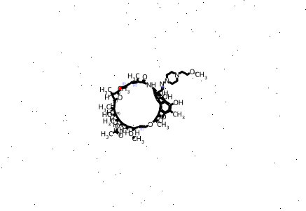 COCCN1CCN(/N=C/c2c3c(O)c4c(O)c(C)c5c(c4c2O)C(=O)[C@@](C)(O/C=C/[C@H](OC)[C@@H](C)[C@@H](OC(C)=O)[C@H](C)[C@H](O)[C@H](C)[C@H]2O[C@@](C)(/C=C/C=C(/C)C(=O)N3)[C@@H]2C)O5)CC1